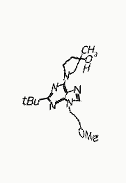 COCCn1cnc2c(N3CCC(C)(O)C3)nc(C(C)(C)C)nc21